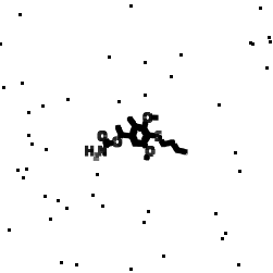 CCCCSc1c(OC)cc(C(C)OC(N)=O)c(C)c1OC